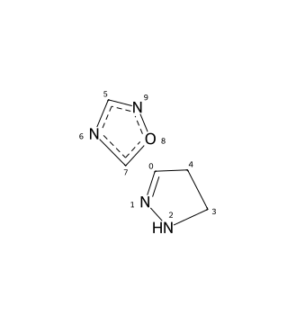 C1=NNCC1.c1ncon1